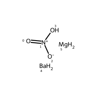 O=[N+]([O-])O.[BaH2].[MgH2]